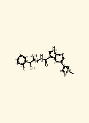 Cn1cc(-c2cnc3[nH]cc(C(=O)NNC(=N)C(O)c4ccccc4Cl)c3c2)cn1